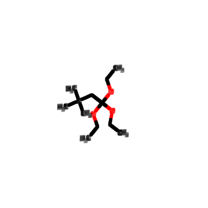 CCOC(C[Si](C)(C)C)(OCC)OCC